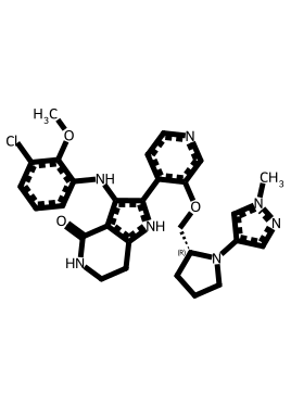 COc1c(Cl)cccc1Nc1c(-c2ccncc2OC[C@H]2CCCN2c2cnn(C)c2)[nH]c2c1C(=O)NCC2